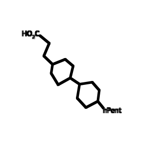 CCCCCC1CCC(C2CCC(CCC(=O)O)CC2)CC1